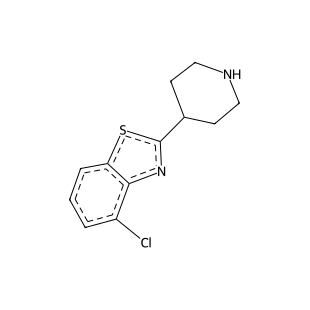 Clc1cccc2sc(C3CCNCC3)nc12